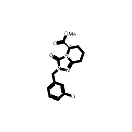 COC(=O)[C@H]1CCCc2nn(Cc3cccc(Cl)c3)c(=O)n21